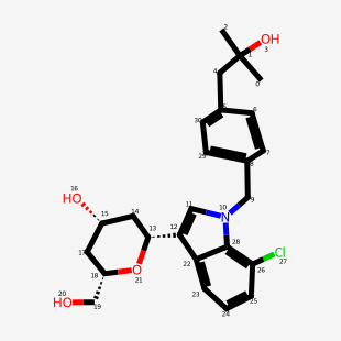 CC(C)(O)Cc1ccc(Cn2cc([C@H]3C[C@@H](O)C[C@@H](CO)O3)c3cccc(Cl)c32)cc1